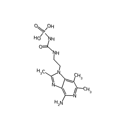 Cc1nc(N)c2nc(C)n(CCNC(=O)NP(=O)(O)O)c2c1C